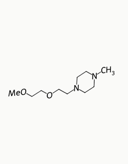 COCCOCCN1CCN(C)CC1